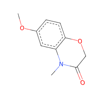 COc1ccc2c(c1)N(C)C(=O)CO2